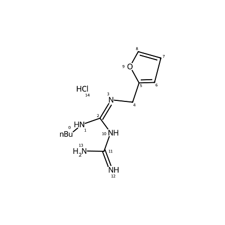 CCCCNC(=NCc1ccco1)NC(=N)N.Cl